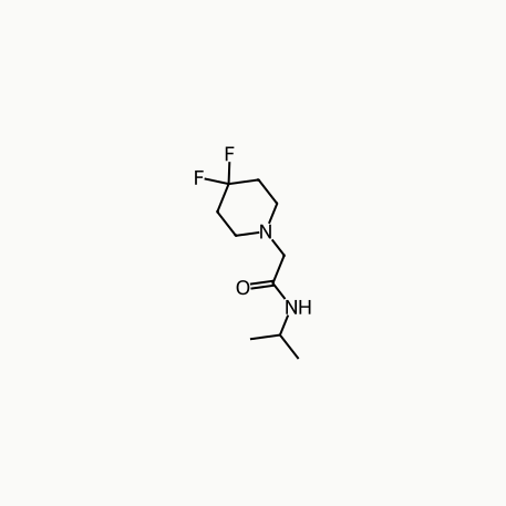 CC(C)NC(=O)CN1CCC(F)(F)CC1